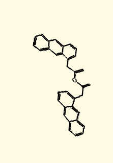 C=C(Cc1cccc2cc3ccccc3cc12)OC(=C)Cc1cccc2cc3ccccc3cc12